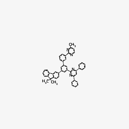 Cc1ccnc(-c2cccc(-c3cc(-c4ccc5c(c4)-c4ccccc4C5(C)C)cc(-c4nc(-c5ccccc5)cc(-c5ccccc5)n4)c3)c2)n1